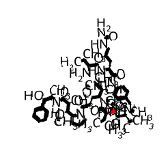 CC[C@H](C)[C@@H]([C@@H](CC(=O)N1CCC[C@H]1[C@H](OC)[C@@H](C)C(=O)N[C@H](C)[C@@H](O)c1ccccc1)OC)N(C)C(=O)[C@@H](NC(=O)[C@H](C(C)C)[N+](C)(C)Cc1ccc(NC(=O)[C@H](CCCNC(N)=O)NC(=O)[C@@H](N)C(C)C)cc1S(=O)(=O)O)C(C)C